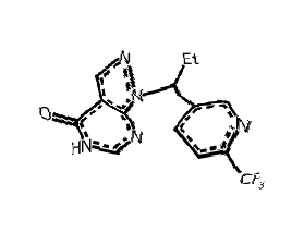 CCC(c1ccc(C(F)(F)F)nc1)n1ncc2c(=O)[nH]cnc21